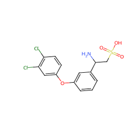 NC(CS(=O)(=O)O)c1cccc(Oc2ccc(Cl)c(Cl)c2)c1